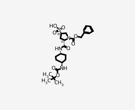 CC(C)(C)OC(=O)N[C@H]1CC[C@H](NC(=O)[C@@H]2C[C@@H](S(=O)(=O)O)CN2C(=O)OCc2ccccc2)CC1